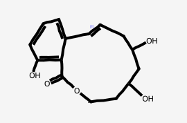 O=C1O[C]CC(O)CC(O)C/C=C/c2cccc(O)c21